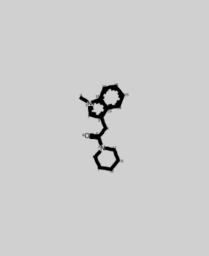 Cn1cc(CC(=O)N2CCCCC2)c2ccccc21